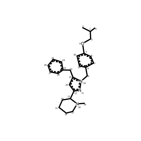 CC(C)COc1ccc(Cn2nc(C3CCCCN3C)cc2Cc2ccccc2)cc1